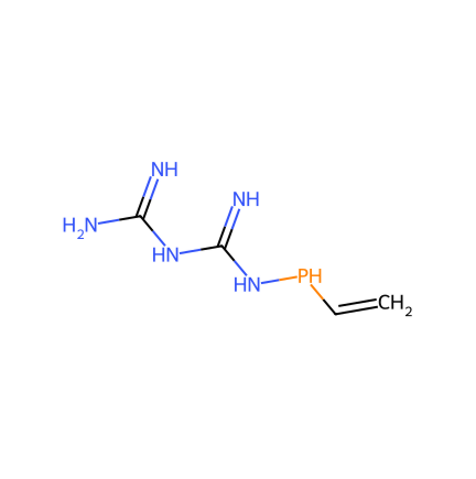 C=CPNC(=N)NC(=N)N